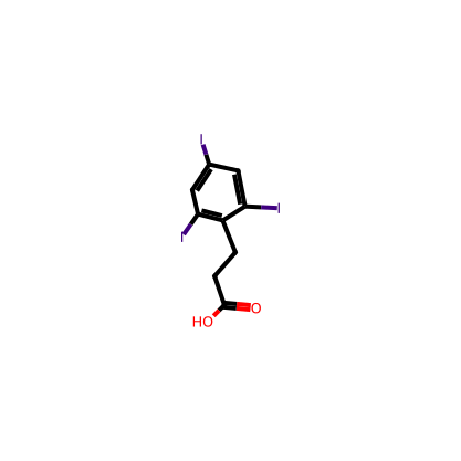 O=C(O)CCc1c(I)cc(I)cc1I